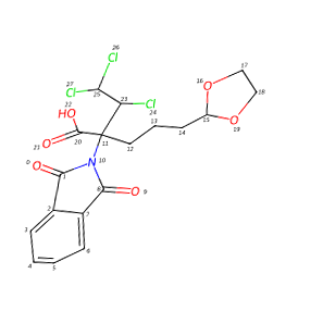 O=C1c2ccccc2C(=O)N1C(CCCC1OCCO1)(C(=O)O)C(Cl)C(Cl)Cl